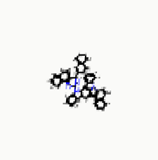 c1ccc2cc(-c3nc(-n4c5ccccc5c5cc6c7c8ccccc8ccc7n7c8ccccc8c(c54)c67)nc4c3ccc3ccccc34)ccc2c1